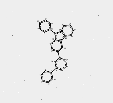 c1ccc(-c2ncnc(-c3ccc4c(c3)c3ccccc3n4-c3ccccc3)n2)cc1